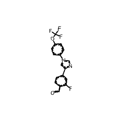 O=Cc1ccc(-c2cn(-c3ccc(OC(F)(F)F)cc3)cn2)cc1F